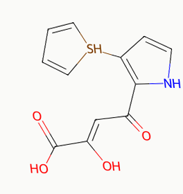 O=C(O)C(O)=CC(=O)c1[nH]ccc1[SH]1C=CC=C1